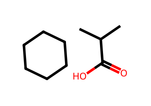 C1CCCCC1.CC(C)C(=O)O